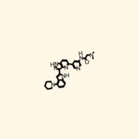 CN(C)CC(=O)Nc1cncc(-c2ccc3[nH]nc(-c4cc5c(N6CCCCC6)cccc5[nH]4)c3n2)c1